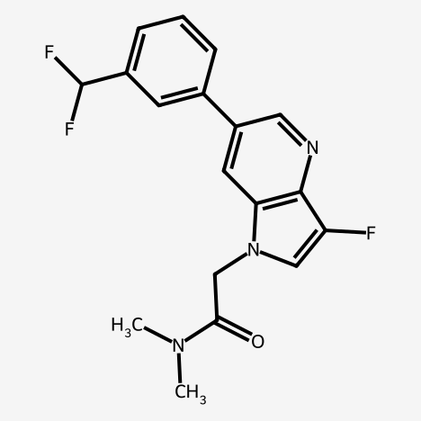 CN(C)C(=O)Cn1cc(F)c2ncc(-c3cccc(C(F)F)c3)cc21